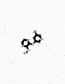 CCOc1nccnc1Oc1cncc(Br)c1